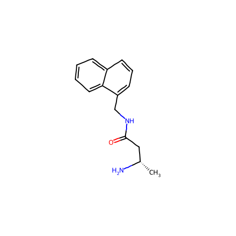 C[C@H](N)CC(=O)NCc1cccc2ccccc12